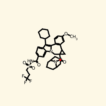 COc1ccc2c(c1)C1CC1(C(=O)N1C3CCCC1COC3)Cn1c-2c(C2CCCCC2)c2ccc(C(=O)NS(=O)(=O)CCC(F)(F)F)cc21